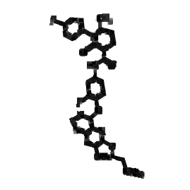 COCCOc1nc2c(Oc3ccc(NC(=O)c4ccc(C)n(-c5ccc(F)cc5)c4=O)cc3F)ncnc2cc1OC